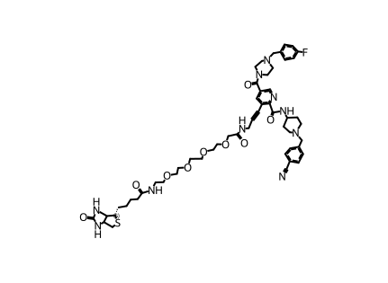 N#Cc1ccc(CN2CCC(NC(=O)c3ncc(C(=O)N4CCN(Cc5ccc(F)cc5)CC4)cc3C#CCNC(=O)COCCOCCOCCOCCNC(=O)CCCC[C@@H]3SCC4NC(=O)NC43)CC2)cc1